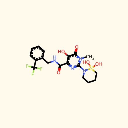 Cn1c(N2CCCCS2(O)O)nc(C(=O)NCc2ccccc2C(F)(F)F)c(O)c1=O